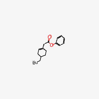 CCC(C)CC1CC=C(CC(=O)Oc2ccccc2)CC1